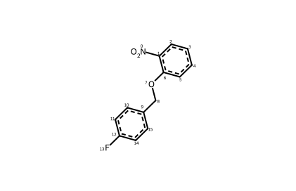 O=[N+]([O-])c1ccccc1OCc1ccc(F)cc1